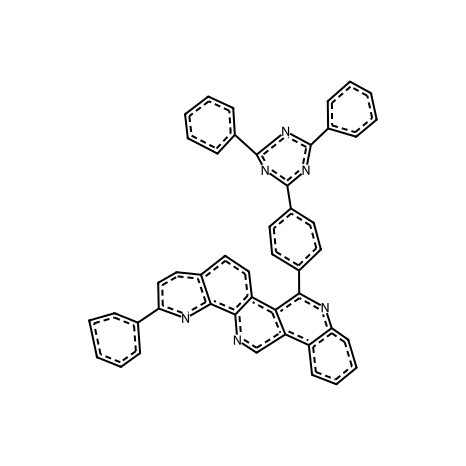 c1ccc(-c2ccc3ccc4c(ncc5c6ccccc6nc(-c6ccc(-c7nc(-c8ccccc8)nc(-c8ccccc8)n7)cc6)c54)c3n2)cc1